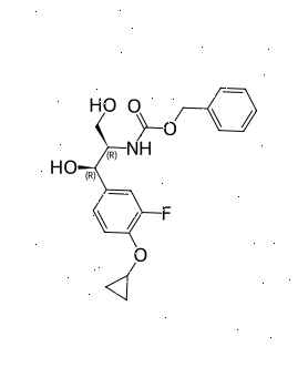 O=C(N[C@H](CO)[C@H](O)c1ccc(OC2CC2)c(F)c1)OCc1ccccc1